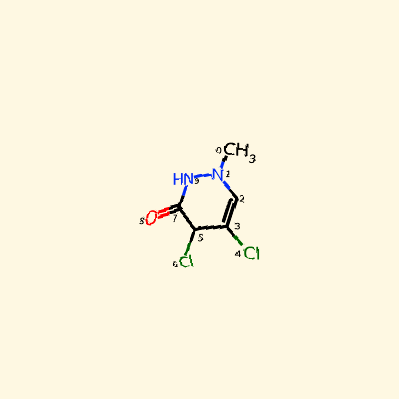 CN1C=C(Cl)C(Cl)C(=O)N1